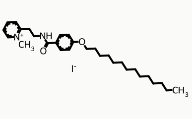 CCCCCCCCCCCCCCOc1ccc(C(=O)NCCc2cccc[n+]2C)cc1.[I-]